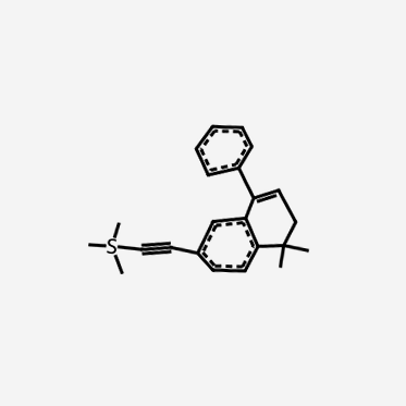 CC1(C)CC=C(c2ccccc2)c2cc(C#CS(C)(C)C)ccc21